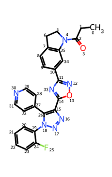 CCC(=O)N1CCc2ccc(-c3noc(-c4nnn(-c5ccccc5F)c4-c4ccncc4)n3)cc21